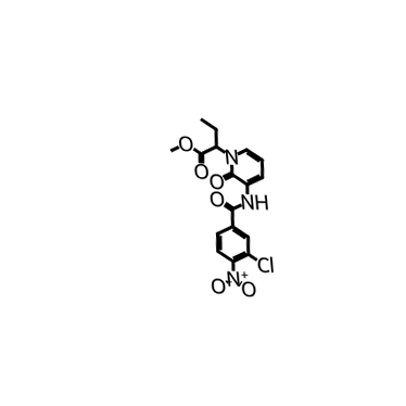 CCC(C(=O)OC)n1cccc(NC(=O)c2ccc([N+](=O)[O-])c(Cl)c2)c1=O